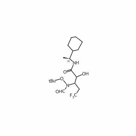 C[C@H](NC(=O)C(O)C(CC(F)(F)F)N(C=O)OC(C)(C)C)C1CCCCC1